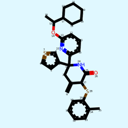 C=C1CC(c2ccsc2)(c2cccc(OC(C)C3CCCCC3)n2)NC(=O)C1Sc1ccccc1C